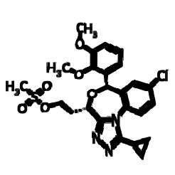 COc1cccc([C@@H]2O[C@@H](CCOS(C)(=O)=O)c3nnc(C4CC4)n3-c3ccc(Cl)cc32)c1OC